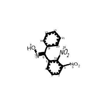 O=[N+]([O-])c1cccc(C(=NO)c2ccccc2)c1[N+](=O)[O-]